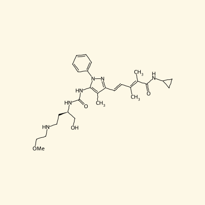 COCCNCC[C@H](CO)NC(=O)Nc1c(C)c(/C=C/C(C)=C(\C)C(=O)NC2CC2)nn1-c1ccccc1